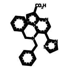 O=C(O)c1cnn2c(N(Cc3ccccc3)Cc3ccccc3)c(-c3nccs3)cnc12